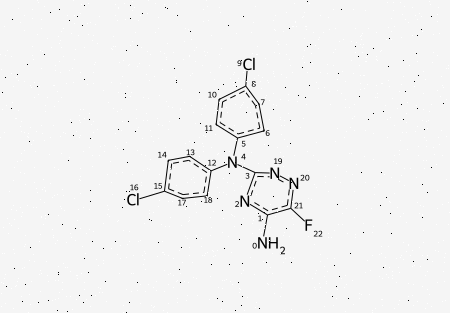 Nc1nc(N(c2ccc(Cl)cc2)c2ccc(Cl)cc2)nnc1F